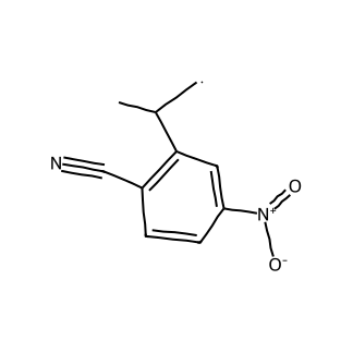 [CH2]C(C)c1cc([N+](=O)[O-])ccc1C#N